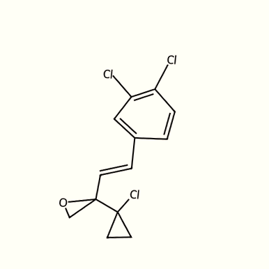 Clc1ccc(C=CC2(C3(Cl)CC3)CO2)cc1Cl